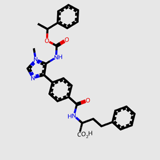 CC(OC(=O)Nc1c(-c2ccc(C(=O)NC(CCc3ccccc3)C(=O)O)cc2)ncn1C)c1ccccc1